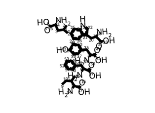 CC(C)CC(N)C(=O)O.CCC(C)C(N)C(=O)O.NC(Cc1c[nH]c2ccccc12)C(=O)O.NC(Cc1ccc(O)cc1)C(=O)O.NC(Cc1ccccc1)C(=O)O